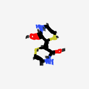 O=C1NC=CS/C1=C1/SC=CNC1=O